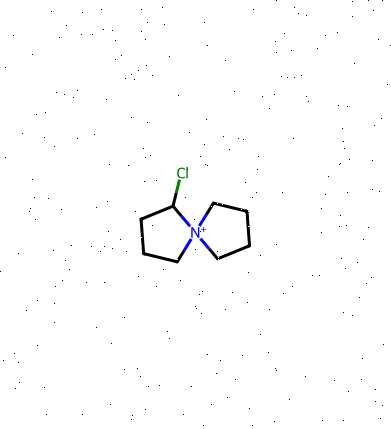 ClC1CCC[N+]12CCCC2